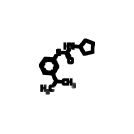 CC(C)c1cccc(SC(=O)NC2CCCC2)c1